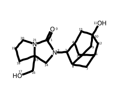 O=C1N(C2C3CC4CC2CC(O)(C4)C3)CC2(CO)CCCN12